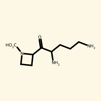 NCCCC(N)C(=O)C1CCN1C(=O)O